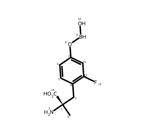 C[C@](N)(Cc1ccc(OBO)cc1F)C(=O)O